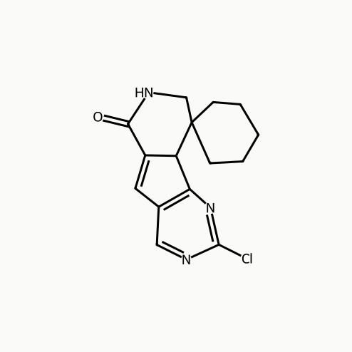 O=C1NCC2(CCCCC2)C2C1=Cc1cnc(Cl)nc12